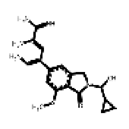 CSc1cc(C(/C=C(\N)C(=N)N)=C/N)cc2c1C(=O)N(C(C)C1CC1)C2